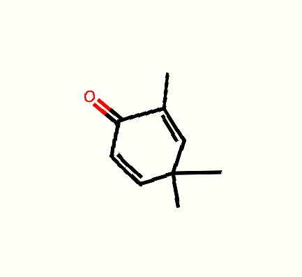 CC1=CC(C)(C)C=CC1=O